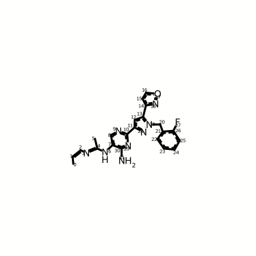 C/C=C\N=C(/C)Nc1cnc(-c2cc(-c3ccon3)n(Cc3ccccc3F)n2)nc1N